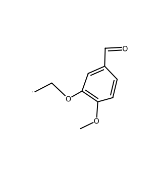 [CH2]COc1cc(C=O)ccc1OC